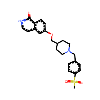 CS(=O)(=O)c1ccc(CN2CCC(COc3ccc4c(=O)[nH]ccc4c3)CC2)cc1